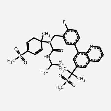 CC(C)NC(=O)N(Cc1cc(-c2cc(C(C)(C)S(C)(=O)=O)cc3cccnc23)ccc1F)C1(C)C=CC(S(C)(=O)=O)=CC1